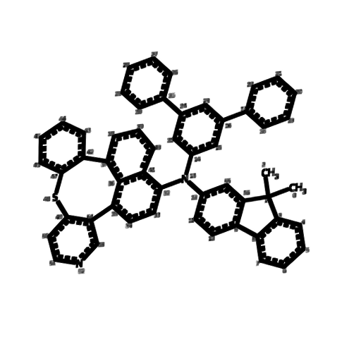 CC1(C)c2ccccc2-c2ccc(N(c3cc(-c4ccccc4)cc(-c4ccccc4)c3)c3ccc4c5c(cccc35)-c3ccccc3Sc3ccncc3-4)cc21